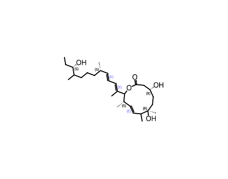 CC[C@H](O)C(C)CCC[C@H](C)/C=C/C=C(\C)C1OC(=O)C[C@H](O)CC[C@@](C)(O)C(C)/C=C/[C@@H]1C